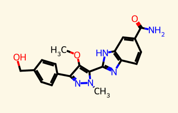 COc1c(-c2ccc(CO)cc2)nn(C)c1-c1nc2ccc(C(N)=O)cc2[nH]1